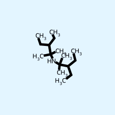 CCC(CC)C(C)(C)NC(C)(C)C(CC)CC